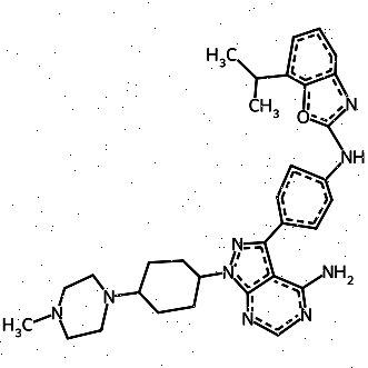 CC(C)c1cccc2nc(Nc3ccc(-c4nn(C5CCC(N6CCN(C)CC6)CC5)c5ncnc(N)c45)cc3)oc12